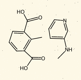 CNc1cccnc1.Cc1c(C(=O)O)cccc1C(=O)O